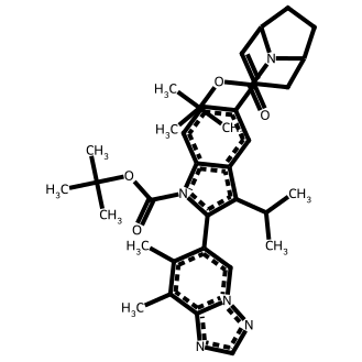 Cc1c(-c2c(C(C)C)c3cc(C4=CC5CCC(C4)N5C(=O)OC(C)(C)C)ccc3n2C(=O)OC(C)(C)C)cn2ncnc2c1C